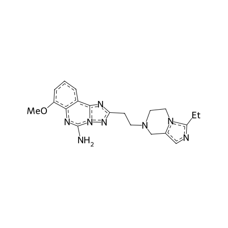 CCc1ncc2n1CCN(CCc1nc3c4cccc(OC)c4nc(N)n3n1)C2